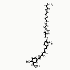 COc1cc(/C=C/C(=O)CC(=O)/C=C/c2ccc(O)c(CO)c2)ccc1OCc1cn(CCOCCOCCOCCN)nn1